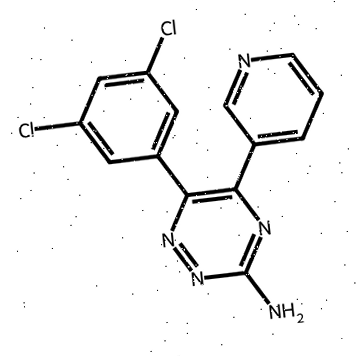 Nc1nnc(-c2cc(Cl)cc(Cl)c2)c(-c2cccnc2)n1